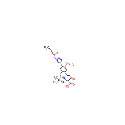 CCOC(=O)Cn1cc(-c2cc3c(cc2OC)-c2cc(=O)c(C(=O)O)cn2C(C(C)(C)C)C3)cn1